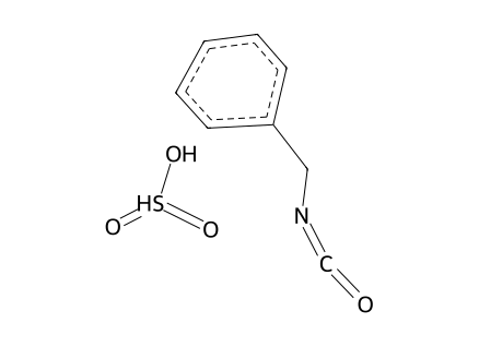 O=C=NCc1ccccc1.O=[SH](=O)O